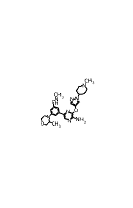 CNSc1cc(-c2cnc(N)c(Oc3cnn(C4CCN(C)CC4)c3)n2)cc(N2CCOCC2C)c1